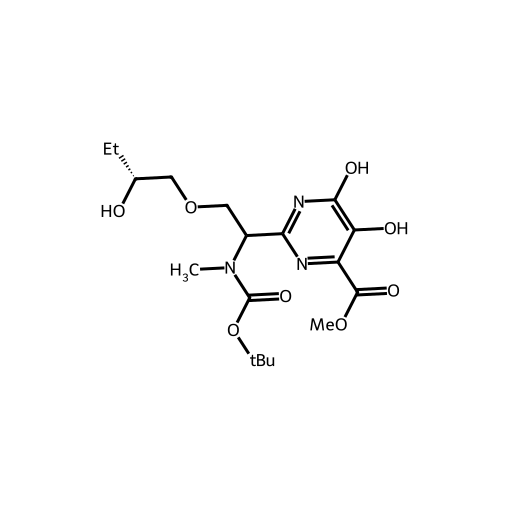 CC[C@@H](O)COCC(c1nc(O)c(O)c(C(=O)OC)n1)N(C)C(=O)OC(C)(C)C